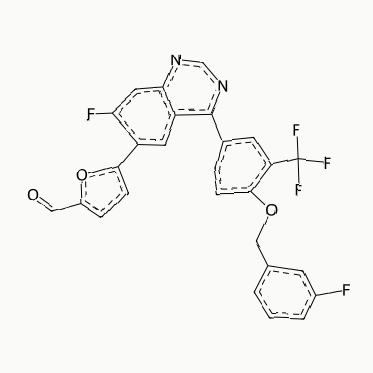 O=Cc1ccc(-c2cc3c(-c4ccc(OCc5cccc(F)c5)c(C(F)(F)F)c4)ncnc3cc2F)o1